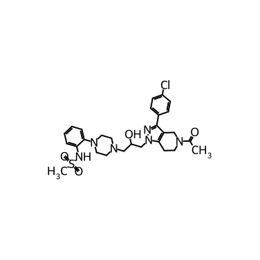 CC(=O)N1CCc2c(c(-c3ccc(Cl)cc3)nn2CC(O)CN2CCN(c3ccccc3NS(C)(=O)=O)CC2)C1